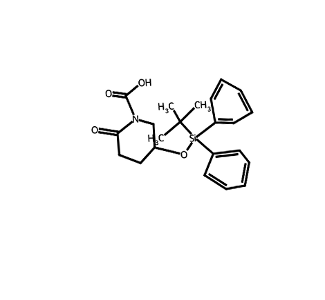 CC(C)(C)[Si](OC1CCC(=O)N(C(=O)O)C1)(c1ccccc1)c1ccccc1